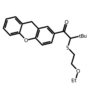 CCOCCSC(C(=O)c1ccc2c(c1)Cc1ccccc1O2)C(C)(C)C